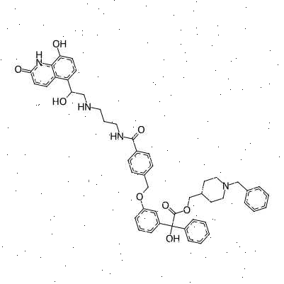 O=C(NCCCNCC(O)c1ccc(O)c2[nH]c(=O)ccc12)c1ccc(COc2cccc(C(O)(C(=O)OCC3CCN(Cc4ccccc4)CC3)c3ccccc3)c2)cc1